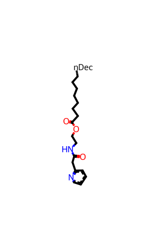 CCCCCCCCCCCCCCCCCC(=O)OCCNC(=O)Cc1ccccn1